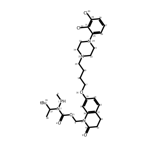 CPN(C(=O)OCN1C(=O)CCc2ccc(OCCCCN3CCN(c4cccc(Cl)c4Cl)CC3)cc21)C(C)C(C)(C)C